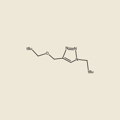 CC(C)(C)COCc1cn(CC(C)(C)C)nn1